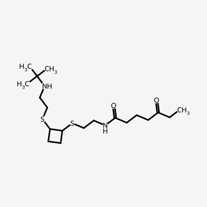 CCC(=O)CCCC(=O)NCCSC1CCC1SCCNC(C)(C)C